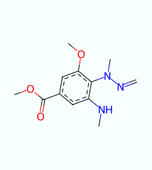 C=NN(C)c1c(NC)cc(C(=O)OC)cc1OC